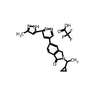 Cc1cc(-c2cc(-c3ccc4c(c3)CN(C(C)C3CC3)C4=O)cnn2)[nH]n1.O=C(O)C(F)(F)F